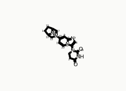 O=C1CCN(c2cnc3cc(N4CC5CCC(C4)N5)ccn23)C(=O)N1